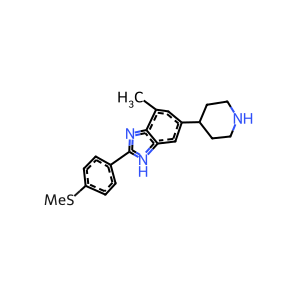 CSc1ccc(-c2nc3c(C)cc(C4CCNCC4)cc3[nH]2)cc1